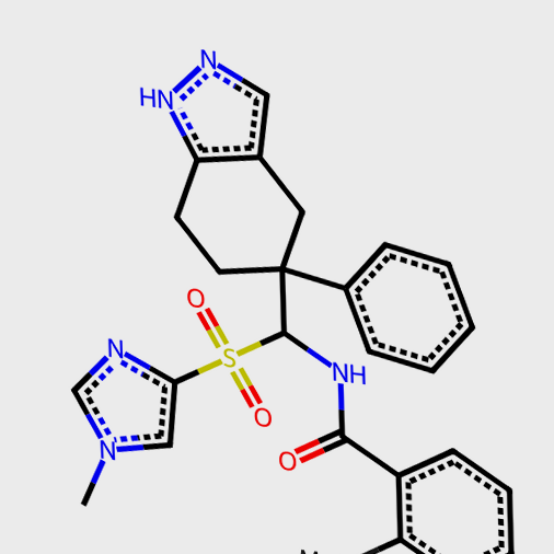 COc1ccccc1C(=O)NC(C1(c2ccccc2)CCc2[nH]ncc2C1)S(=O)(=O)c1cn(C)cn1